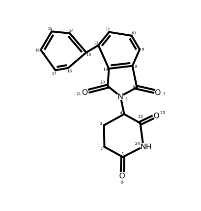 O=C1CCC(N2C(=O)c3cccc(-c4ccccc4)c3C2=O)C(=O)N1